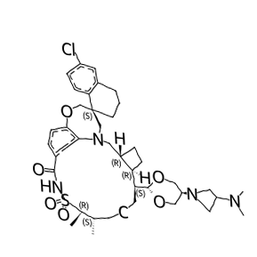 C[C@@H]1[C@@H](C)CCC[C@H]([C@H]2OC[C@H](N3CC(N(C)C)C3)CO2)[C@@H]2CC[C@H]2CN2C[C@@]3(CCCc4cc(Cl)ccc43)COc3ccc(cc32)C(=O)NS1(=O)=O